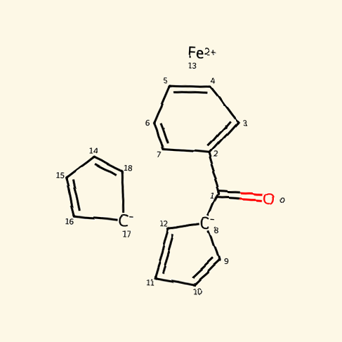 O=C(c1ccccc1)[c-]1cccc1.[Fe+2].c1cc[cH-]c1